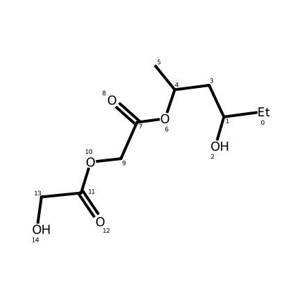 CCC(O)CC(C)OC(=O)COC(=O)CO